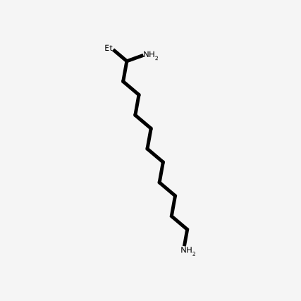 CCC(N)CCCCCCCCCCN